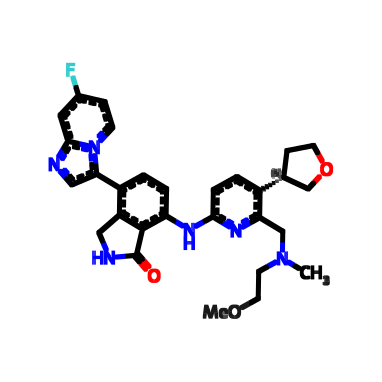 COCCN(C)Cc1nc(Nc2ccc(-c3cnc4cc(F)ccn34)c3c2C(=O)NC3)ccc1[C@@H]1CCOC1